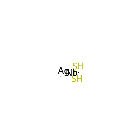 SS.[Ag].[Nb]